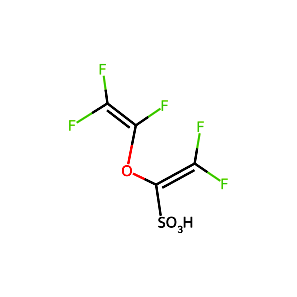 O=S(=O)(O)C(OC(F)=C(F)F)=C(F)F